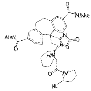 CNC(=O)c1ccc2c(c1)CCc1cc(C(=O)NC)ccc1C2(CCNCC(=O)N1CCCC1C#N)c1nc(=O)on1C1CCCCC1